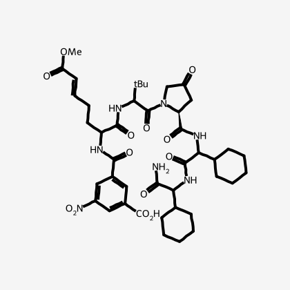 COC(=O)/C=C/CCC(NC(=O)c1cc(C(=O)O)cc([N+](=O)[O-])c1)C(=O)NC(C(=O)N1CC(=O)C[C@H]1C(=O)NC(C(=O)NC(C(N)=O)C1CCCCC1)C1CCCCC1)C(C)(C)C